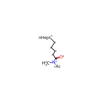 CCCCCCCCCCCC(=O)N(C)C(C)=O